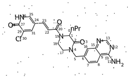 CCCC1C(=O)N(Cc2ccc3c(N)ncnc3c2)CCN1C(=O)C=Cc1c[nH]c(=O)c(Cl)c1